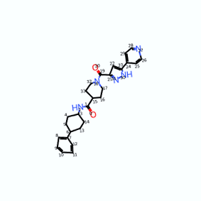 O=C(NC1CCC(c2ccccc2)CC1)C1CCN(C(=O)c2cc(-c3ccncc3)[nH]n2)CC1